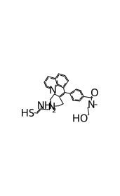 CN(CCO)C(=O)c1ccc(C(=C2CCN(C/C(N)=C/S)CC2)c2cccc3cccnc23)cc1